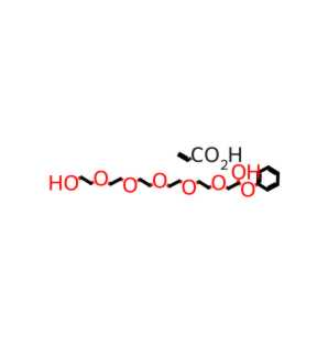 C=CC(=O)O.OCCOCCOCCOCCOCCOCC(O)Oc1ccccc1